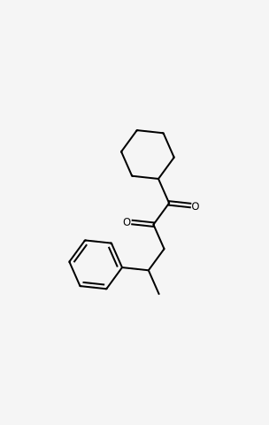 CC(CC(=O)C(=O)C1CCCCC1)c1ccccc1